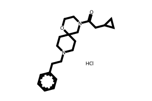 Cl.O=C(CC1CC1)N1CCOC2(CCN(CCc3ccccc3)CC2)C1